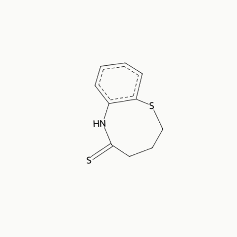 S=C1CCCSc2ccccc2N1